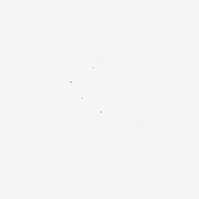 Cc1cc(C)n(-c2nc3c(c(=O)n2-c2ccc(O[C@H]4C[C@@H](C)C4)nc2)C[C@@H](C)N(C(=O)c2ccc(Br)c(C)c2)C3)n1